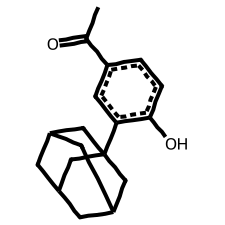 CC(=O)c1ccc(O)c(C23CC4CC(CC(C4)C2)C3)c1